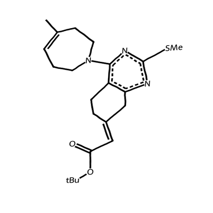 CSc1nc2c(c(N3CCC=C(C)CC3)n1)CC/C(=C\C(=O)OC(C)(C)C)C2